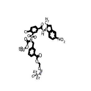 CC[N+]([O-])(CC)/N=N\OCOC(=O)c1cccc(CN(C(=O)OC(C)(C)C)S(=O)(=O)c2cc(C(=O)NN3c4ccc([N+](=O)[O-])cc4CC3C)ccc2Cl)c1